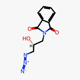 [N-]=[N+]=NC[C@H](O)CN1C(=O)c2ccccc2C1=O